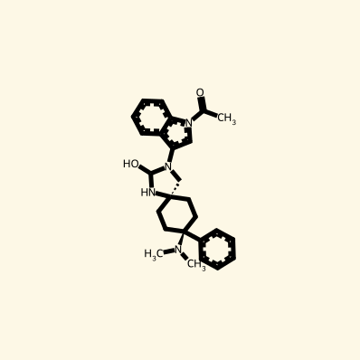 CC(=O)n1cc(N2C[C@]3(CC[C@](c4ccccc4)(N(C)C)CC3)NC2O)c2ccccc21